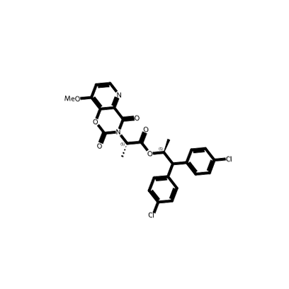 COc1ccnc2c(=O)n([C@@H](C)C(=O)O[C@@H](C)C(c3ccc(Cl)cc3)c3ccc(Cl)cc3)c(=O)oc12